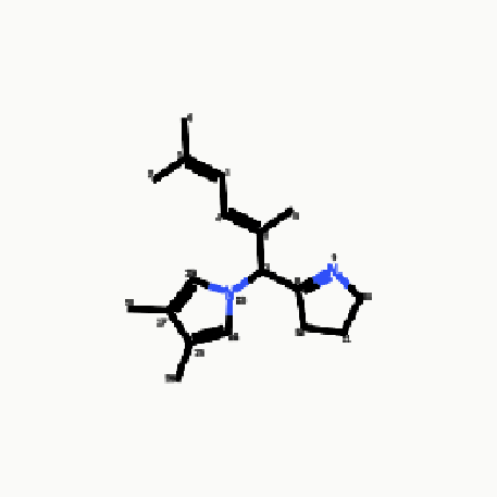 CC(C)=C/C=C(\C)C(C1=NCCC1)n1cc(C)c(C)c1